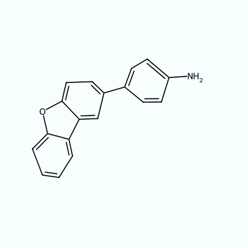 Nc1ccc(-c2ccc3oc4ccccc4c3c2)cc1